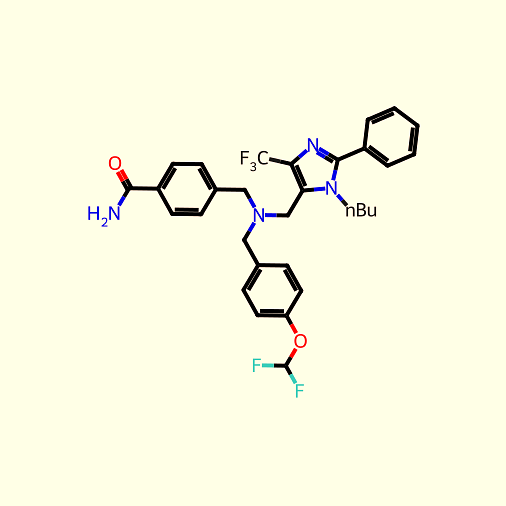 CCCCn1c(-c2ccccc2)nc(C(F)(F)F)c1CN(Cc1ccc(OC(F)F)cc1)Cc1ccc(C(N)=O)cc1